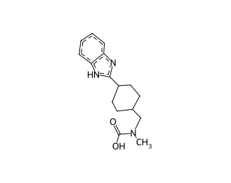 CN(CC1CCC(c2nc3ccccc3[nH]2)CC1)C(=O)O